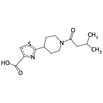 CC(C)CC(=O)N1CCC(c2nc(C(=O)O)cs2)CC1